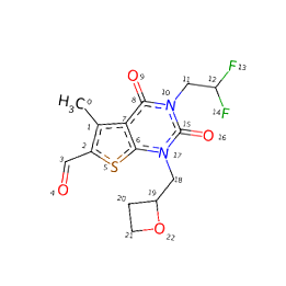 Cc1c(C=O)sc2c1c(=O)n(CC(F)F)c(=O)n2CC1CCO1